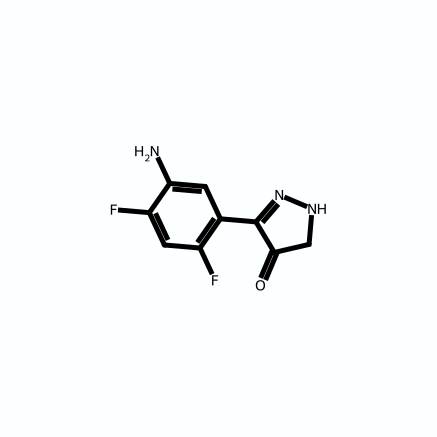 Nc1cc(C2=NNCC2=O)c(F)cc1F